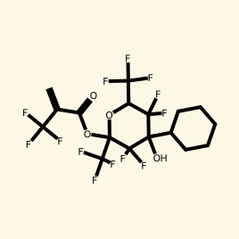 C=C(C(=O)OC1(C(F)(F)F)OC(C(F)(F)F)C(F)(F)C(O)(C2CCCCC2)C1(F)F)C(F)(F)F